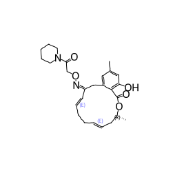 Cc1cc(O)c2c(c1)CC(=NOCC(=O)N1CCCCC1)/C=C/CC/C=C/C[C@@H](C)OC2=O